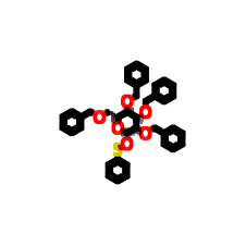 c1ccc(COC[C@H]2O[C@@H](OSc3ccccc3)[C@H](OCc3ccccc3)[C@@H](OCc3ccccc3)[C@@H]2OCc2ccccc2)cc1